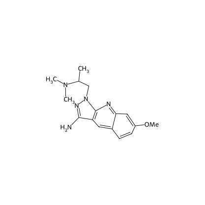 COc1ccc2cc3c(N)nn(CC(C)N(C)C)c3nc2c1